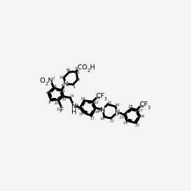 O=C(O)C1CCN(c2c([N+](=O)[O-])ccc(F)c2CNc2ccc(N3CCN(c4cccc(C(F)(F)F)c4)CC3)c(C(F)(F)F)c2)CC1